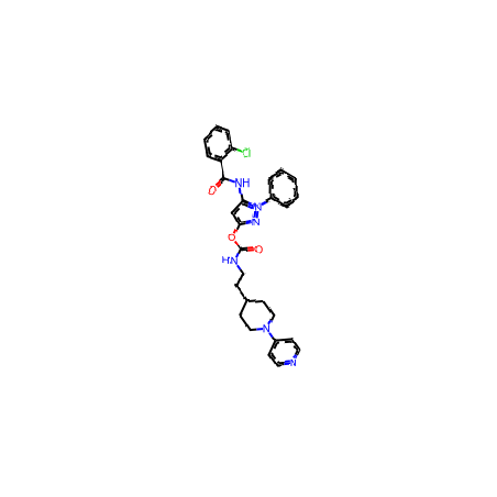 O=C(NCCC1CCN(c2ccncc2)CC1)Oc1cc(NC(=O)c2ccccc2Cl)n(-c2ccccc2)n1